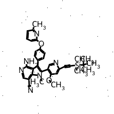 COc1cc(C#C[Si](C)(C)C(C)(C)C)ncc1-c1c(-c2ccc(Oc3cccc(C)n3)cc2)c2c(N)ncc(C#N)c2n1C